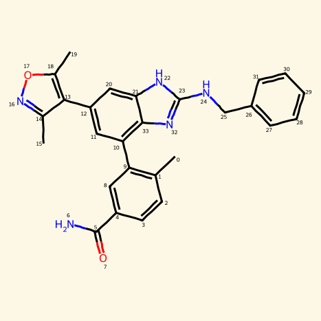 Cc1ccc(C(N)=O)cc1-c1cc(-c2c(C)noc2C)cc2[nH]c(NCc3ccccc3)nc12